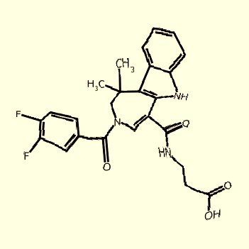 CC1(C)CN(C(=O)c2ccc(F)c(F)c2)C=C(C(=O)NCCC(=O)O)c2[nH]c3ccccc3c21